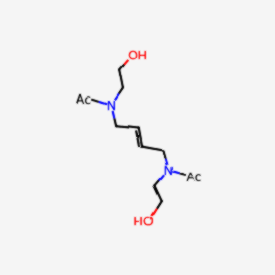 CC(=O)N(C/C=C/CN(CCO)C(C)=O)CCO